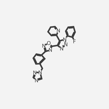 Fc1ccccc1-n1nnc(-c2nc(-c3cccc(Cn4cncn4)c3)no2)c1C1=CCCC=N1